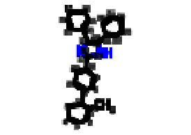 Cc1ccccc1-c1ccc(-c2nc(-c3ccccc3)c(-c3ccccc3)[nH]2)cc1